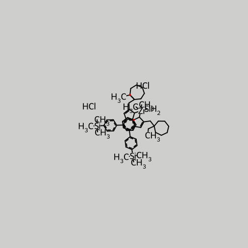 CCC1(CC2=Cc3c(-c4ccc([Si](C)(C)C)cc4)cccc3[CH]2[Zr]([CH3])([CH3])(=[SiH2])[CH]2C(CC3(CC)CCCCCC3)=Cc3c(-c4ccc([Si](C)(C)C)cc4)cccc32)CCCCCC1.Cl.Cl